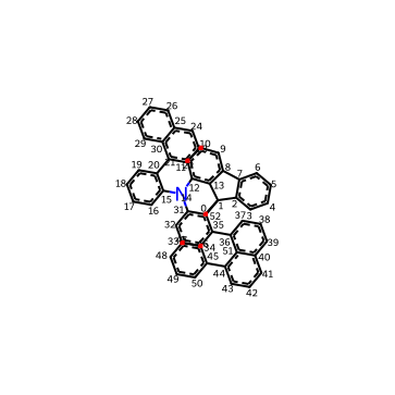 CC12c3ccccc3-c3cccc(c31)N(c1ccccc1-c1cccc3ccccc13)c1cccc(-c3cccc4cccc(-c5ccccc5)c34)c12